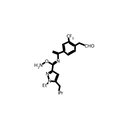 C=C(/N=C(\ON)c1cc(CC(C)C)n(CC)n1)c1ccc(CC=O)c(C(F)(F)F)c1